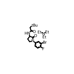 CC(C)(C)CC(=O)NC1CCN(c2ccc(F)c(Br)c2)C1=O.CCN(CC)CC